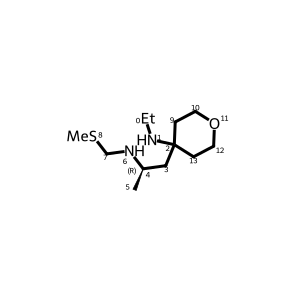 CCNC1(C[C@@H](C)NCSC)CCOCC1